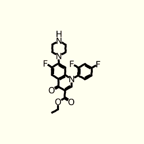 CCOC(=O)c1cn(-c2ccc(F)cc2F)c2cc(N3CCNCC3)c(F)cc2c1=O